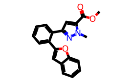 COC(=O)c1cc(-c2ccccc2-c2cc3ccccc3o2)nn1C